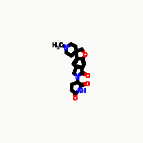 CN1CCC2(CC1)COc1cc3c(cc12)CN(C1CCC(=O)NC1=O)C3=O